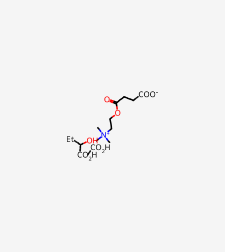 CC(=O)O.CCC(O)C(=O)O.C[N+](C)(C)CCOC(=O)CCC(=O)[O-]